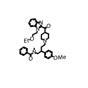 CCOCCn1c(C(=O)C2CCN(CCC(CN(C)C(=O)c3ccccc3)c3ccc(OC)cc3)CC2)nc2ccccc21